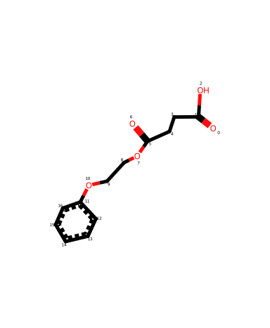 O=C(O)CCC(=O)OCCOc1ccccc1